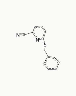 N#Cc1cccc(SCc2ccccc2)n1